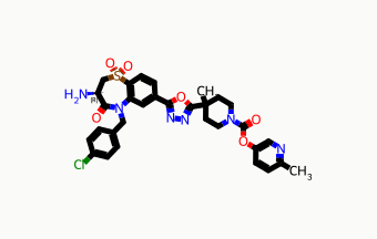 Cc1ccc(OC(=O)N2CCC(C)(c3nnc(-c4ccc5c(c4)N(Cc4ccc(Cl)cc4)C(=O)[C@@H](N)CS5(=O)=O)o3)CC2)cn1